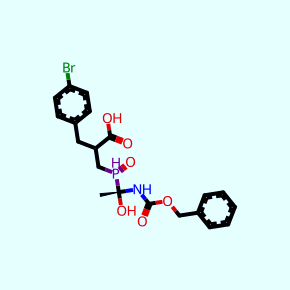 C[C@](O)(NC(=O)OCc1ccccc1)[PH](=O)CC(Cc1ccc(Br)cc1)C(=O)O